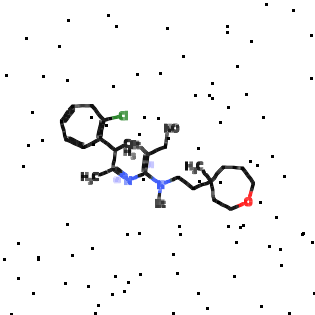 CC/C(CN=O)=C(\N=C(\C)C(C)C1=C(Cl)CC=CC=C1)N(CC)CCC1(C)CCCOCC1